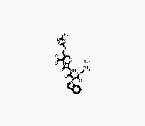 CCOC(=O)C(C(=O)NC1C(=O)N2C(C(=O)[O-])=C(CSc3nnc(C)s3)CSC12)n1ccc2ccccc21.[Na+]